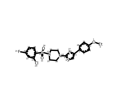 CCOc1ccc(-c2csc(N3CCN(S(=O)(=O)c4ccc(F)cc4Cl)CC3)n2)cc1